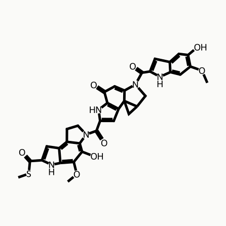 COc1cc2[nH]c(C(=O)N3CC4CC45C3=CC(=O)c3[nH]c(C(=O)N4CCc6c4c(O)c(OC)c4[nH]c(C(=O)SC)cc64)cc35)cc2cc1O